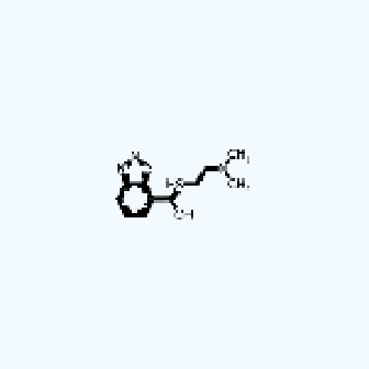 CN(C)CC[SH]=C(O)c1cccc2nnsc12